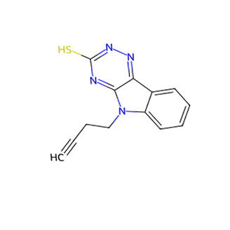 C#CCCn1c2ccccc2c2nnc(S)nc21